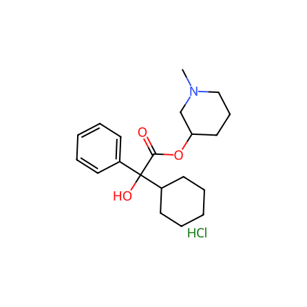 CN1CCCC(OC(=O)C(O)(c2ccccc2)C2CCCCC2)C1.Cl